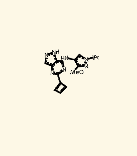 COc1nn(C(C)C)cc1Nc1nc(C2=CC=C2)nc2cn[nH]c12